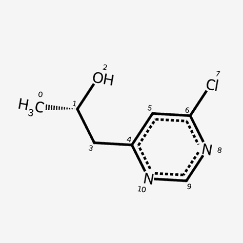 C[C@H](O)Cc1cc(Cl)ncn1